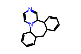 C1=CC2CC3C=CC=CC3N3C=CN=CC3C2C=C1